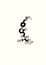 C#C[C@@H](NC(=O)CC1CCCN(c2ccc(C=NN)cc2)C1=O)C(CC)C(=O)O